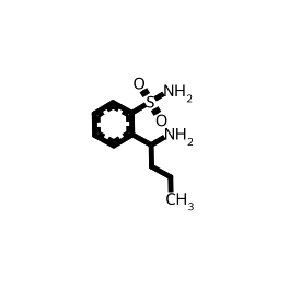 CCCC(N)c1ccccc1S(N)(=O)=O